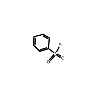 O=S(=O)([S])c1ccccc1